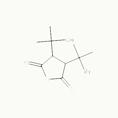 CCC(C)C(C)(C)C1C(=O)OC(=O)C1C(C)(C)C(C)C